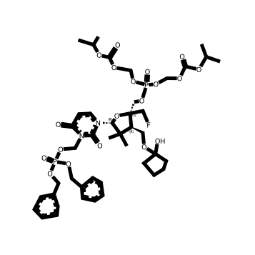 CC(C)OC(=O)OCOP(=O)(OCOC(=O)OC(C)C)OC[C@@]1(CF)O[C@@H](n2ccc(=O)n(COP(=O)(OCc3ccccc3)OCc3ccccc3)c2=O)C(C)(C)[C@@H]1COC1(O)CCCC1